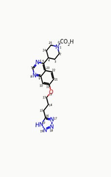 O=C(O)N1CCC(c2ncnc3cc(OCCCc4nnn[nH]4)ccc23)CC1